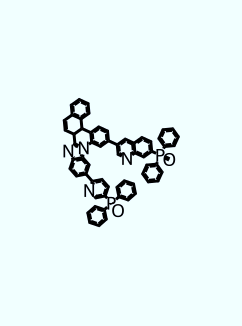 O=P(c1ccccc1)(c1ccccc1)c1ccc(-c2ccc3nc4n(c3c2)-c2cc(-c3cnc5cc(P(=O)(c6ccccc6)c6ccccc6)ccc5c3)ccc2C2c3ccccc3C=CC42)nc1